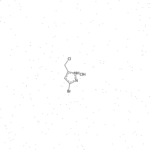 Cl.ClCc1cc(Br)n[nH]1